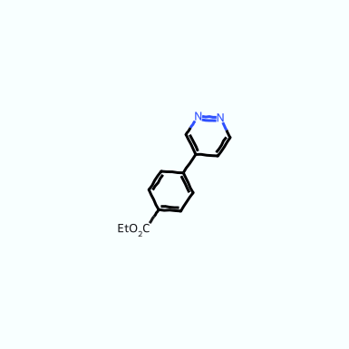 CCOC(=O)c1ccc(-c2ccnnc2)cc1